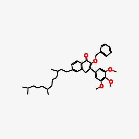 COc1cc(C2=C(OCc3ccccc3)C(=O)c3ccc(CCC(C)CCCC(C)CCCC(C)C)cc3C2)cc(OC)c1OC